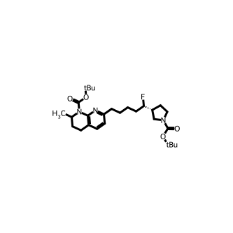 CC1CCc2ccc(CCCCC(F)[C@@H]3CCN(C(=O)OC(C)(C)C)C3)nc2N1C(=O)OC(C)(C)C